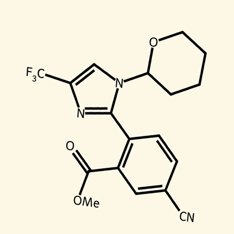 COC(=O)c1cc(C#N)ccc1-c1nc(C(F)(F)F)cn1C1CCCCO1